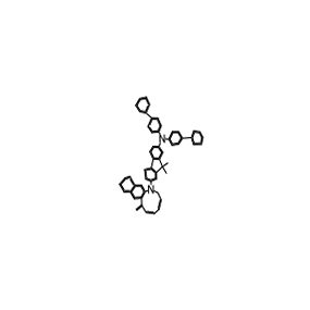 C=C1/C=C\C=C/CN(c2ccc3c(c2)C(C)(C)c2cc(N(c4ccc(-c5ccccc5)cc4)c4ccc(-c5ccccc5)cc4)ccc2-3)c2cc3ccccc3cc21